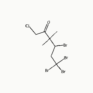 CC(C)(C(=O)CCl)C(Br)CC(Br)(Br)Br